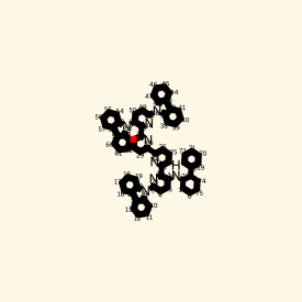 C1=CC(Nc2ccc(-n3c4ccccc4c4ccccc43)nc2-c2cccc(-c3cccc(-c4nc(-n5c6ccccc6c6ccccc65)ccc4-n4c5ccccc5c5ccccc54)n3)n2)C(c2ccccc2)C=C1